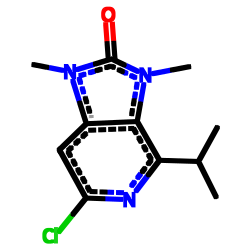 CC(C)c1nc(Cl)cc2c1n(C)c(=O)n2C